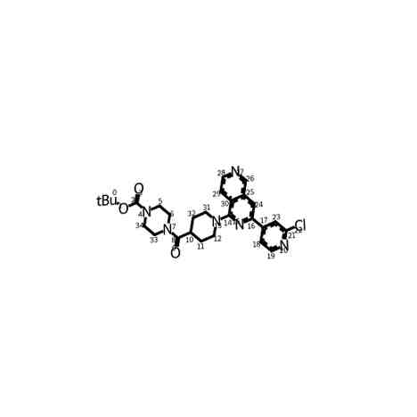 CC(C)(C)OC(=O)N1CCN(C(=O)C2CCN(c3nc(-c4ccnc(Cl)c4)cc4cnccc34)CC2)CC1